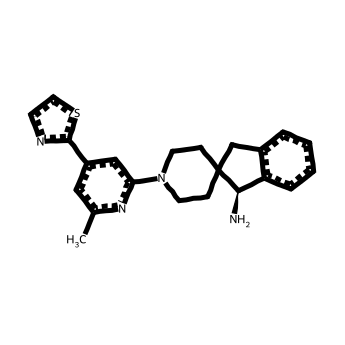 Cc1cc(-c2nccs2)cc(N2CCC3(CC2)Cc2ccccc2[C@H]3N)n1